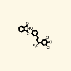 O=C1c2ccccc2C(=O)N1Oc1ccc(C=CC(c2cc(Cl)c(Cl)c(Cl)c2)C(F)(F)F)cc1